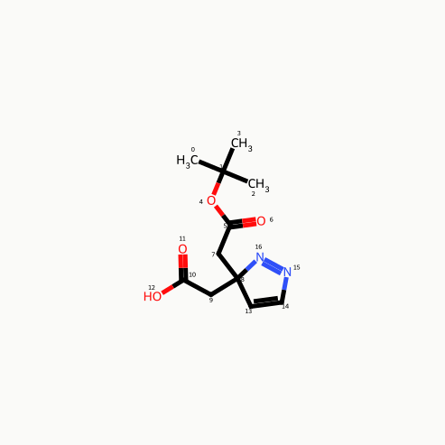 CC(C)(C)OC(=O)CC1(CC(=O)O)C=CN=N1